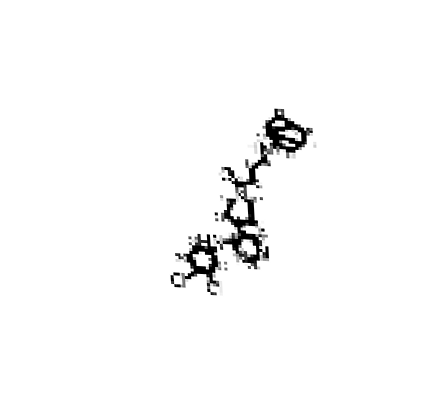 O=C(/C=C/CNC12CC3CC(CC(C3)C1)C2)N1CCc2c(sc3ncnc(Nc4ccc(Cl)c(Cl)c4)c23)C1